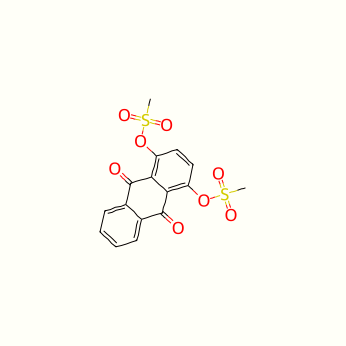 CS(=O)(=O)Oc1ccc(OS(C)(=O)=O)c2c1C(=O)c1ccccc1C2=O